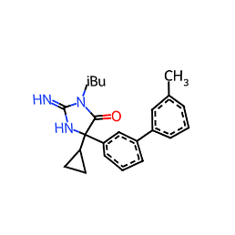 CCC(C)N1C(=N)NC(c2cccc(-c3cccc(C)c3)c2)(C2CC2)C1=O